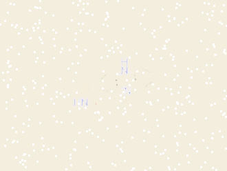 CNS(=O)(=O)c1ccc(Nc2ccccc2)c(N=O)c1